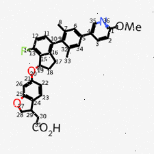 COc1ccc(-c2cc(C)c(-c3ccc(F)c4c3CC[C@H]4Oc3ccc4c(c3)OCC4CC(=O)O)c(C)c2)cn1